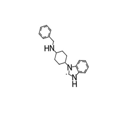 [CH]1Nc2ccccc2N1C1CCC(NCc2ccccc2)CC1